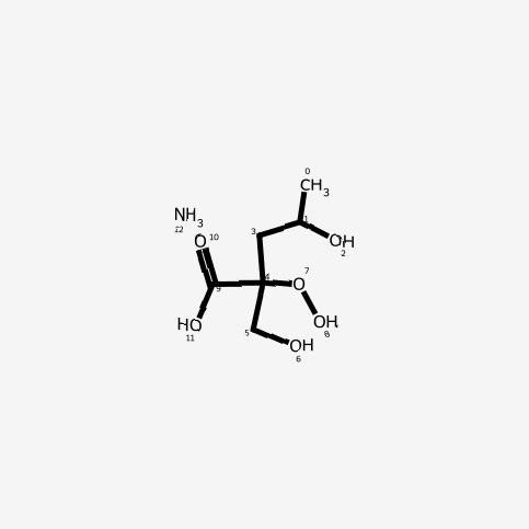 CC(O)CC(CO)(OO)C(=O)O.N